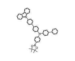 CC1(C)OB(c2ccc(N(c3ccc(-c4ccccc4)cc3)c3ccc(-c4ccc(-n5c6ccccc6c6ccccc65)cc4)cc3)cc2)OC1(C)C